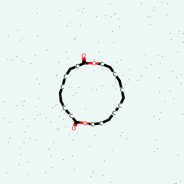 O=C1CCCCCCCCC(=O)OCCCCCCCCCCCO1